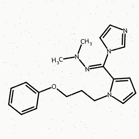 CN(C)N=C(c1cccn1CCCOc1ccccc1)n1ccnc1